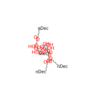 CCCCCCCCCCCCCCCC(=O)OCCCOP(O)OC1OC(OC2OC(COP(=O)(OC)OCC(COC(=O)CCCCCCCCCCCCCCC)OC(=O)CCCCCCCCCCCCCCC)C(O)C(O)C2O)C(O)C(O)C1O